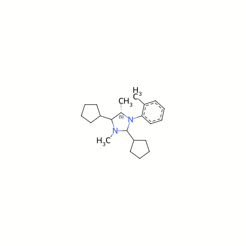 Cc1ccccc1N1C(C2CCCC2)N(C)C(C2CCCC2)[C@@H]1C